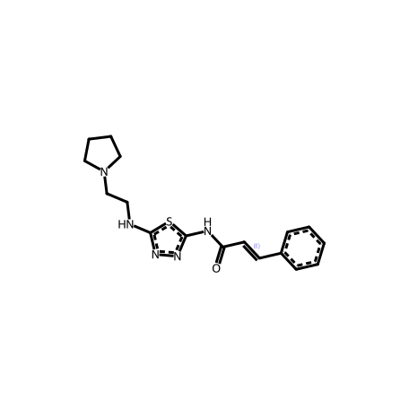 O=C(/C=C/c1ccccc1)Nc1nnc(NCCN2CCCC2)s1